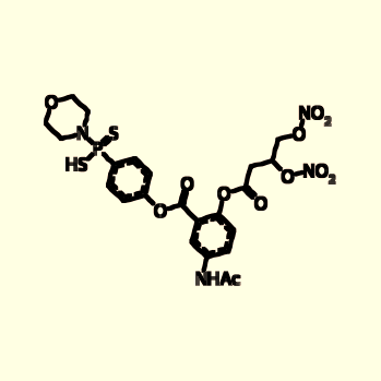 CC(=O)Nc1ccc(OC(=O)CC(CO[N+](=O)[O-])O[N+](=O)[O-])c(C(=O)Oc2ccc(P(=S)(S)N3CCOCC3)cc2)c1